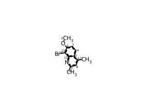 COc1ccc2c(C)cc(C)nc2c1Br